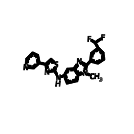 Cn1c(-c2cccc(C(F)F)c2)nc2cc(Nc3nc(-c4cccnc4)cs3)ccc21